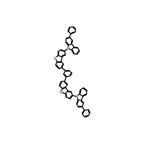 c1ccc(-c2ccc3c(c2)c2ccccc2n3-c2ccc3oc4ccc(-c5cccc(-c6ccc7oc8ccc(-n9c%10ccccc%10c%10cc(-c%11ccccc%11)ccc%109)cc8c7c6)c5)cc4c3c2)cc1